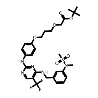 CN(c1cccc(CNc2nc(Nc3ccc(OCCCOCC(=O)OC(C)(C)C)cc3)ncc2C(F)(F)F)c1)S(C)(=O)=O